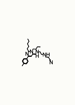 C=C1C=C(c2ccc(C)cc2)N=C(CCCCC)N1CC(CC)NCCNCCC#N